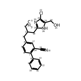 CCC(Cc1ccc(-c2ccccc2)c(C#N)c1)Cc1nc(Cl)c(CO)[nH]1